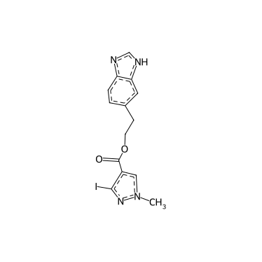 Cn1cc(C(=O)OCCc2ccc3nc[nH]c3c2)c(I)n1